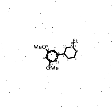 CCN1CCCC(c2cc(OC)cc(OC)c2)C1